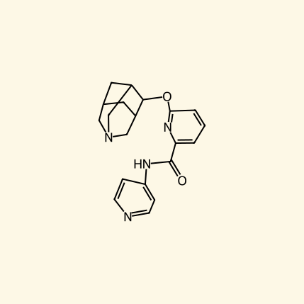 O=C(Nc1ccncc1)c1cccc(OC2C3CC4CC2CN(C4)C3)n1